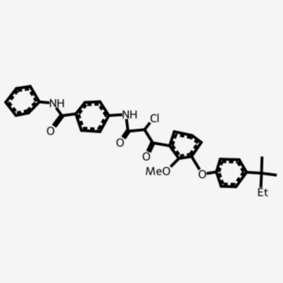 CCC(C)(C)c1ccc(Oc2cccc(C(=O)C(Cl)C(=O)Nc3ccc(C(=O)Nc4ccccc4)cc3)c2OC)cc1